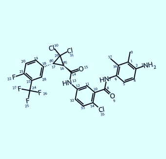 Cc1c(N)ccc(NC(=O)c2cc(NC(=O)[C@H]3[C@H](c4ccc(F)c(C(F)(F)F)c4)C3(Cl)Cl)ccc2Cl)c1C